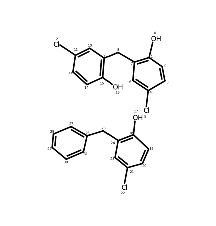 Oc1ccc(Cl)cc1Cc1cc(Cl)ccc1O.Oc1ccc(Cl)cc1Cc1ccccc1